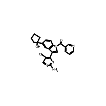 Nc1ncc(Cl)c(-c2cn(C(=O)c3cccnc3)c3ccc(C4(O)CCCC4)cc23)n1